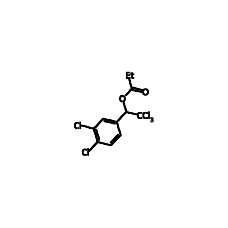 CCC(=O)OC(c1ccc(Cl)c(Cl)c1)C(Cl)(Cl)Cl